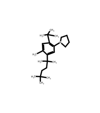 Cc1cc(C(C)(C)C)c(N2CCCC2)cc1C(C)(C)CCC(C)(C)C